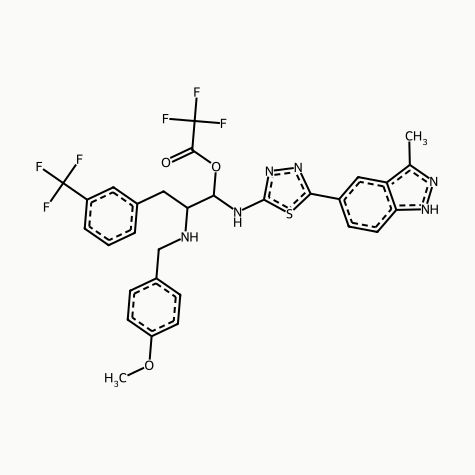 COc1ccc(CNC(Cc2cccc(C(F)(F)F)c2)C(Nc2nnc(-c3ccc4[nH]nc(C)c4c3)s2)OC(=O)C(F)(F)F)cc1